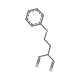 O=CC(C=O)CCSc1ccccc1